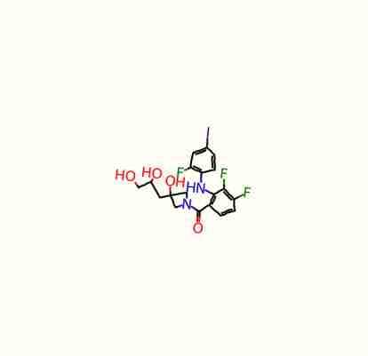 O=C(c1ccc(F)c(F)c1Nc1ccc(I)cc1F)N1CC(O)(CC(O)CO)C1